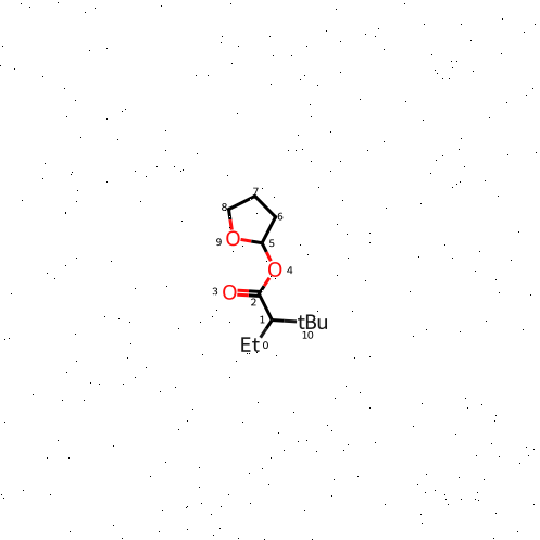 CCC(C(=O)OC1CCCO1)C(C)(C)C